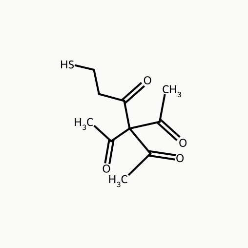 CC(=O)C(C(C)=O)(C(C)=O)C(=O)CCS